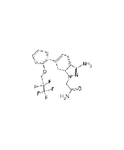 NC(=O)CN1N=C(N)C2=CC=C(c3ccccc3OCC(F)(F)C(F)(F)F)CC21